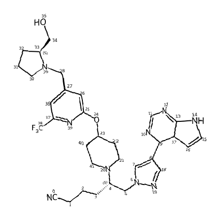 N#CCCC[C@@H](Cn1cc(C2N=CN=C3NC=CC32)cn1)N1CCC(Oc2cc(CN3CCC[C@H]3CO)cc(C(F)(F)F)n2)CC1